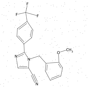 COc1ccccc1Cn1c(C#N)cnc1-c1ccc(C(F)(F)F)cc1